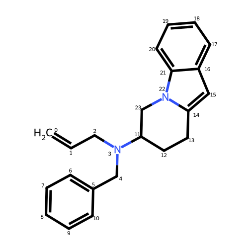 C=CCN(Cc1ccccc1)C1CCc2cc3ccccc3n2C1